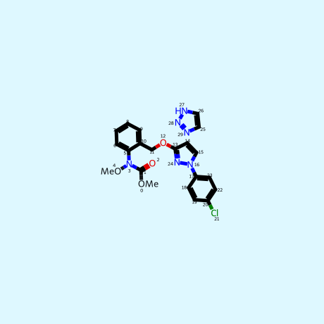 COC(=O)N(OC)c1ccccc1COc1ccn(-c2ccc(Cl)cc2)n1.c1c[nH]nn1